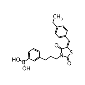 CCc1ccc(C=C2SC(=O)N(CCCc3cccc(B(O)O)c3)C2=O)cc1